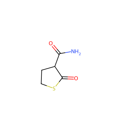 NC(=O)C1CCSC1=O